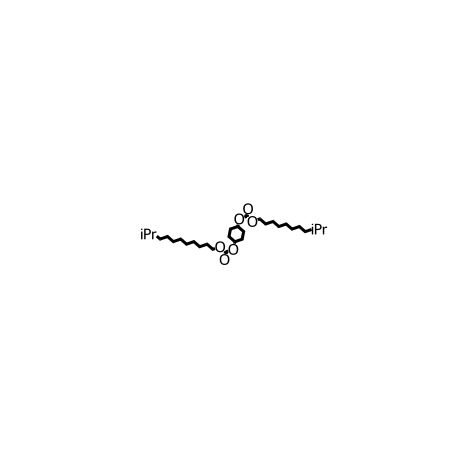 CC(C)CCCCCCCCCOC(=O)OC1CCC(OC(=O)OCCCCCCCCC(C)C)CC1